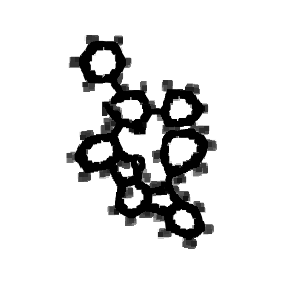 c1ccc(-c2cc(-c3ccccc3)nc(-c3cccc4c3oc3c4ccc4c5ccccc5n(-c5ccccc5)c43)n2)cc1